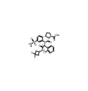 CNS(=O)(=O)c1cccc(N(C(=O)[C@@H]2CCCN2C(=O)OC)[C@H](C(=O)NC2CC(F)(F)C2)c2ccccc2Cl)c1